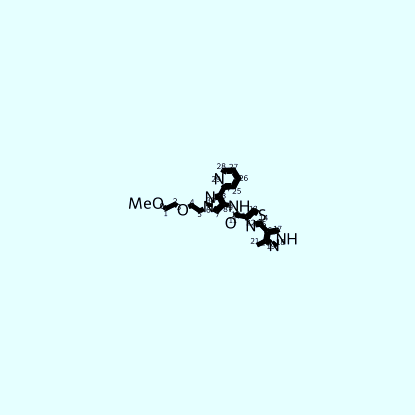 COCCOCCn1cc(NC(=O)c2csc(-c3c[nH]nc3C)n2)c(-c2ccccn2)n1